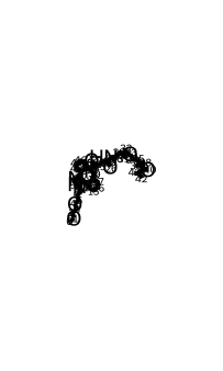 COCCOCCCn1nnc2c1-c1ccccc1CN(C(=O)CCC(=O)NCCC(C)(C)OCCC(C)(C)C(=O)C(C)C)c1ccccc1-2